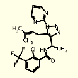 CC(C)=CCc1c(C(C)NC(=O)c2cccc(C(F)(F)F)c2Cl)nnn1-c1ncccn1